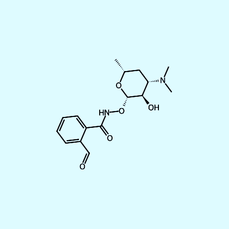 C[C@@H]1C[C@H](N(C)C)[C@@H](O)[C@H](ONC(=O)c2ccccc2C=O)O1